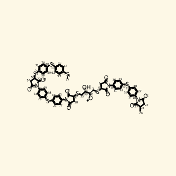 CO[C@H](CSC1CC(=O)N(c2ccc(Sc3ccc(N4C(=O)CC(C)C4=O)cc3)cc2)C1=O)[C@@H](O)CSC1CC(=O)N(c2ccc(Sc3ccc(N4C(=O)CC(Sc5ccc(Sc6ccc(SC)cc6)cc5)C4=O)cc3)cc2)C1=O